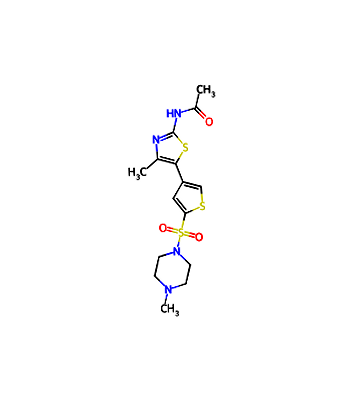 CC(=O)Nc1nc(C)c(-c2csc(S(=O)(=O)N3CCN(C)CC3)c2)s1